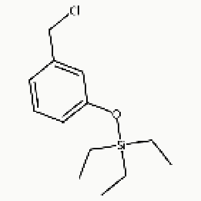 CC[Si](CC)(CC)Oc1cccc(CCl)c1